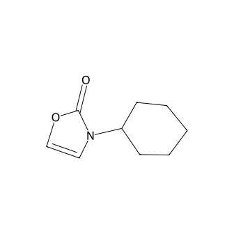 O=c1occn1C1CCCCC1